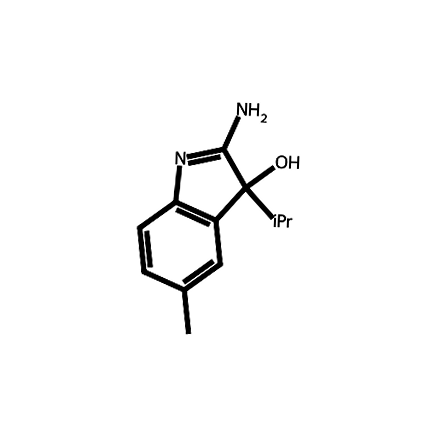 Cc1ccc2c(c1)C(O)(C(C)C)C(N)=N2